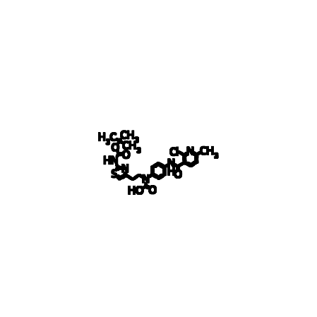 Cc1ccc(C(=O)Nc2ccc(N(CCc3csc(NC(=O)OC(C)(C)C)n3)C(=O)O)cc2)c(Cl)n1